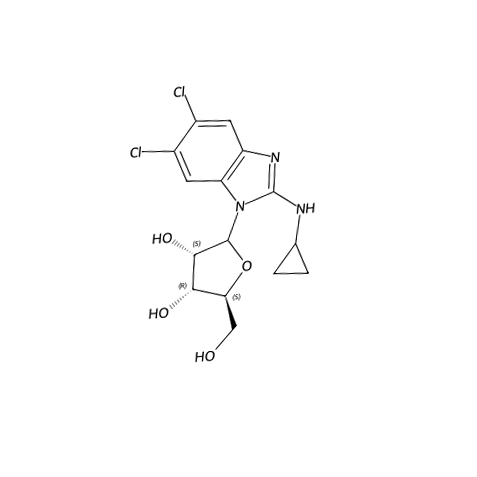 OC[C@@H]1OC(n2c(NC3CC3)nc3cc(Cl)c(Cl)cc32)[C@@H](O)[C@H]1O